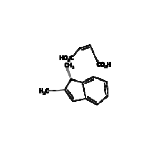 CC1=Cc2ccccc2[C@H]1C.O=C(O)/C=C\C(=O)O